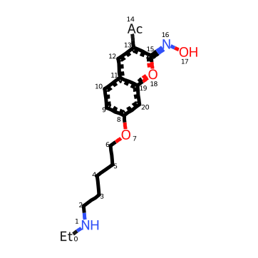 CCNCCCCCOc1ccc2cc(C(C)=O)c(=NO)oc2c1